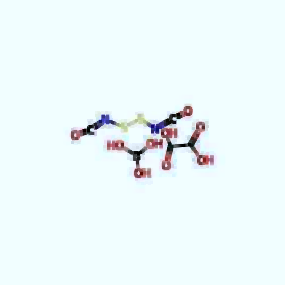 O=C(O)C(=O)O.O=C=NSSN=C=O.OB(O)O